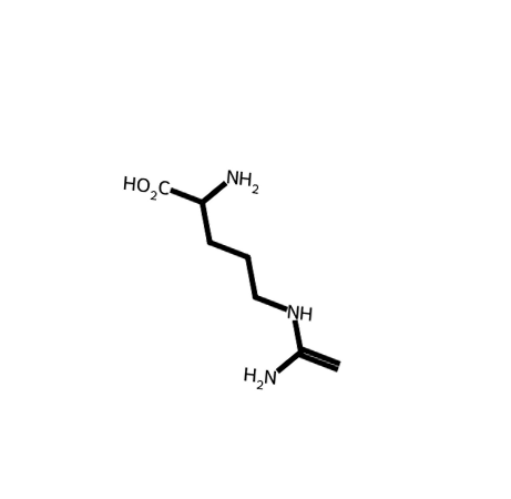 C=C(N)NCCCC(N)C(=O)O